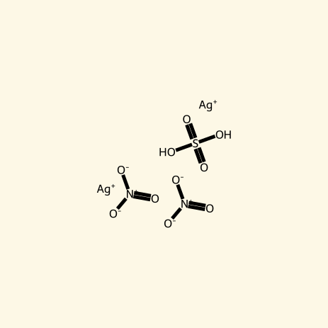 O=S(=O)(O)O.O=[N+]([O-])[O-].O=[N+]([O-])[O-].[Ag+].[Ag+]